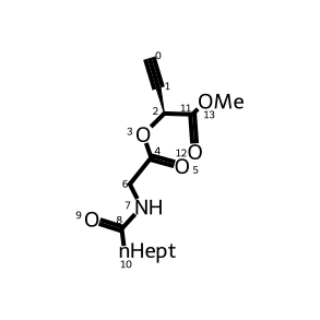 C#C[C@H](OC(=O)CNC(=O)CCCCCCC)C(=O)OC